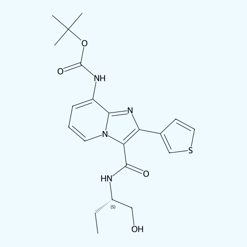 CC[C@@H](CO)NC(=O)c1c(-c2ccsc2)nc2c(NC(=O)OC(C)(C)C)cccn12